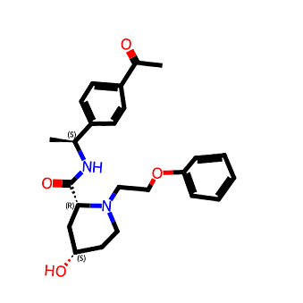 CC(=O)c1ccc([C@H](C)NC(=O)[C@H]2C[C@@H](O)CCN2CCOc2ccccc2)cc1